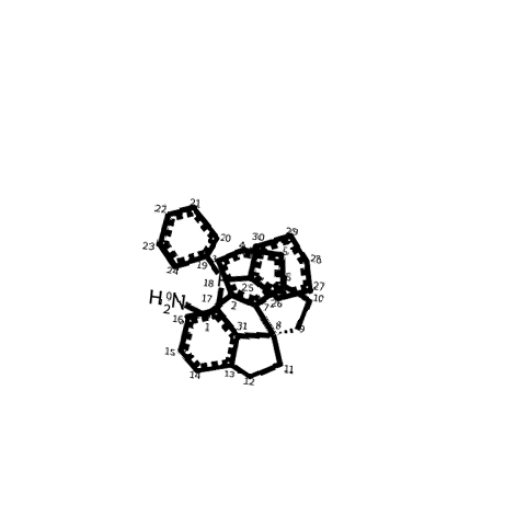 NCc1cccc2c1[C@@]1(CC2)CCc2cccc(P(c3ccccc3)c3ccccc3)c21